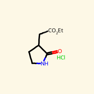 CCOC(=O)CC1CCNC1=O.Cl